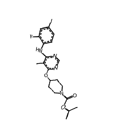 Cc1c(Nc2ccc(I)cc2F)ncnc1OC1CCN(C(=O)OC(C)C)CC1